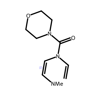 C=CN(/C=C\NC)C(=O)N1CCOCC1